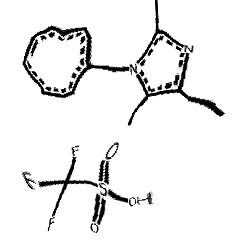 Cc1nc(C)n(-c2ccccc2)c1C.O=S(=O)(O)C(F)(F)F